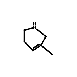 CC1=[C]CCNC1